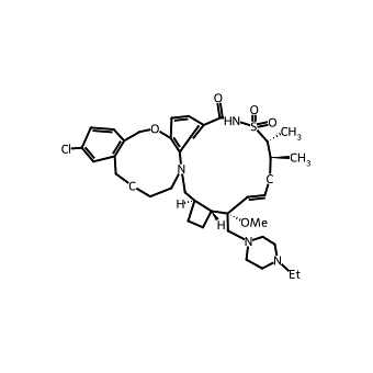 CCN1CCN(C[C@]2(OC)/C=C/C[C@H](C)[C@@H](C)S(=O)(=O)NC(=O)c3ccc4c(c3)N(CCCCc3cc(Cl)ccc3CO4)C[C@@H]3CC[C@H]32)CC1